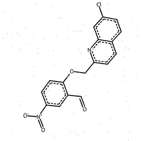 O=Cc1cc([N+](=O)[O-])ccc1OCc1ccc2ccc(Cl)cc2n1